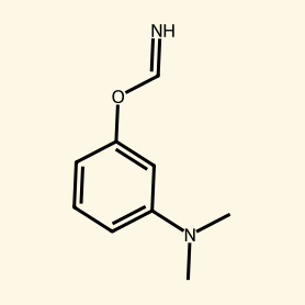 CN(C)c1cccc(OC=N)c1